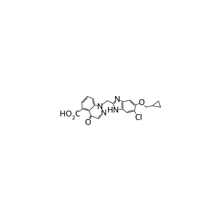 O=C(O)c1cccc2c1c(=O)cnn2Cc1nc2cc(OCC3CC3)c(Cl)cc2[nH]1